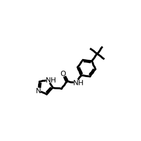 CC(C)(C)c1ccc(NC(=O)Cc2cnc[nH]2)cc1